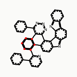 c1ccc(-c2cccnc2-c2ccccc2-c2ccc3c(c2-c2nnnc(-c4ccccc4)c2-c2ccccc2)-c2c4c(ccc2=N3)=c2ccccc2=N4)cc1